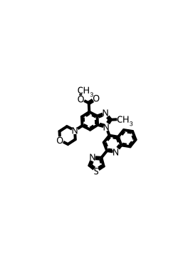 COC(=O)c1cc(N2CCOCC2)cc2c1nc(C)n2-c1cc(-c2cscn2)nc2ccccc12